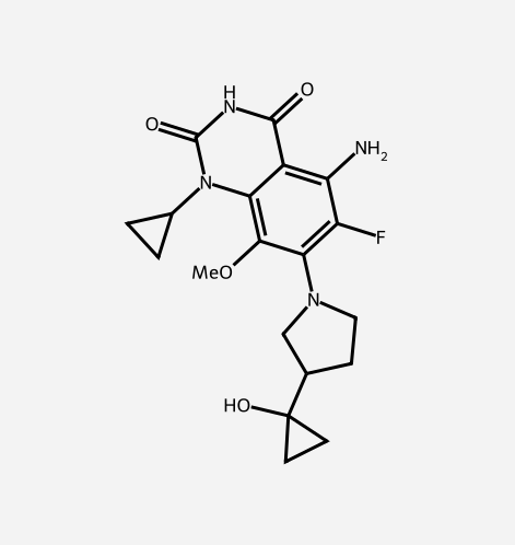 COc1c(N2CCC(C3(O)CC3)C2)c(F)c(N)c2c(=O)[nH]c(=O)n(C3CC3)c12